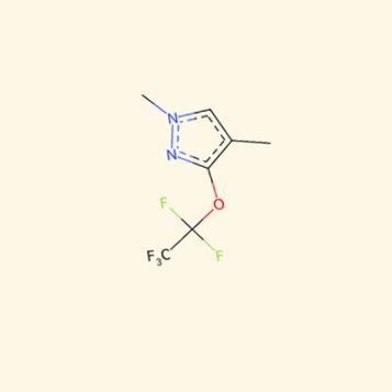 Cc1cn(C)nc1OC(F)(F)C(F)(F)F